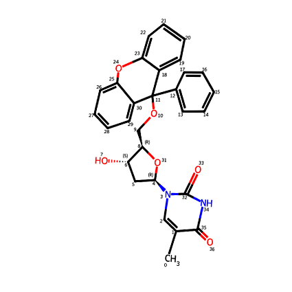 Cc1cn([C@H]2C[C@H](O)[C@@H](COC3(c4ccccc4)c4ccccc4Oc4ccccc43)O2)c(=O)[nH]c1=O